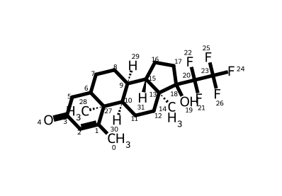 CC1=CC(=O)CC2CC[C@@H]3[C@@H](CC[C@@]4(C)[C@H]3CCC4(O)C(F)(F)C(F)(F)F)[C@@]12C